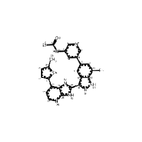 CCC(=O)Nc1cncc(-c2cc(F)c3[nH]nc(-c4nc5c(-c6ccc(C)s6)ccnc5[nH]4)c3c2)c1